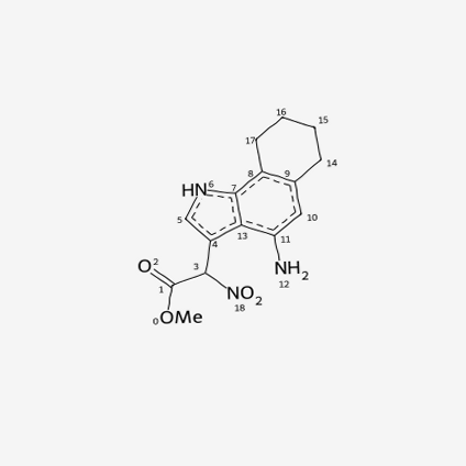 COC(=O)C(c1c[nH]c2c3c(cc(N)c12)CCCC3)[N+](=O)[O-]